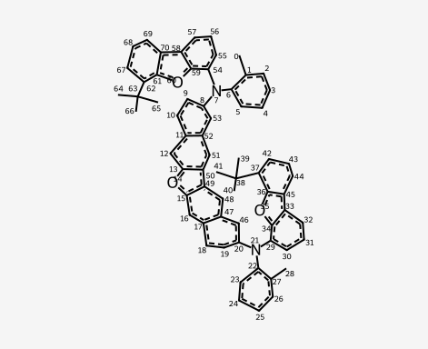 Cc1ccccc1N(c1ccc2cc3oc4cc5ccc(N(c6ccccc6C)c6cccc7c6oc6c(C(C)(C)C)cccc67)cc5cc4c3cc2c1)c1cccc2c1oc1c(C(C)(C)C)cccc12